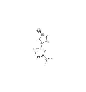 CN/C(=C\C(=N)C(C)C)N1CC[C@H](N)C1